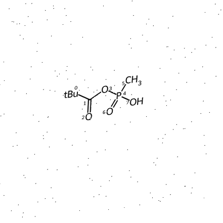 CC(C)(C)C(=O)OP(C)(=O)O